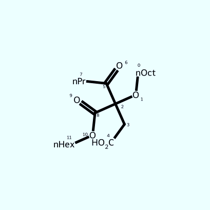 CCCCCCCCOC(CC(=O)O)(C(=O)CCC)C(=O)OCCCCCC